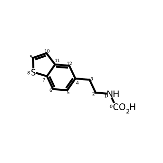 O=C(O)NCCc1ccc2sccc2c1